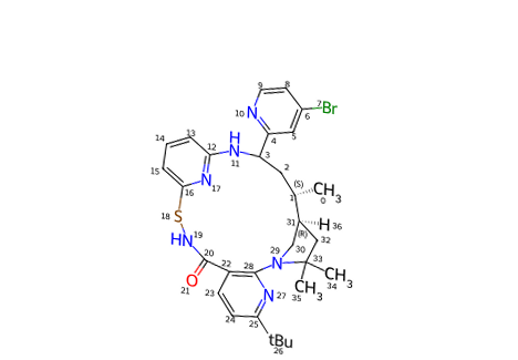 C[C@H]1CC(c2cc(Br)ccn2)Nc2cccc(n2)SNC(=O)c2ccc(C(C)(C)C)nc2N2C[C@@H]1CC2(C)C